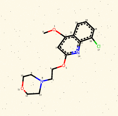 COc1cc(OCCN2CCOCC2)nc2c(Cl)cccc12